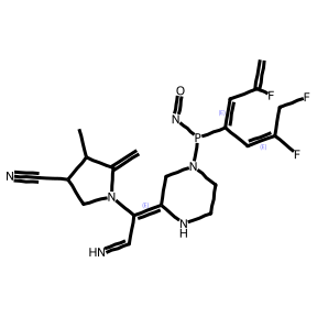 C=C(F)/C=C(\C=C(\F)CF)P(N=O)N1CCN/C(=C(\C=N)N2CC(C#N)C(C)C2=C)C1